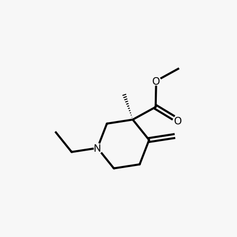 C=C1CCN(CC)C[C@@]1(C)C(=O)OC